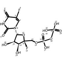 O=c1[nH]c(=S)c(F)cn1[C@@H]1O[C@](F)(COP(=O)(O)OP(=O)(O)O)[C@@H](O)[C@H]1O